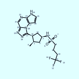 C[C@@H]1C[C@H](NS(=O)(=O)CCCC(F)(F)F)C[C@@H]1c1nnc2cnc3[nH]ccc3n12